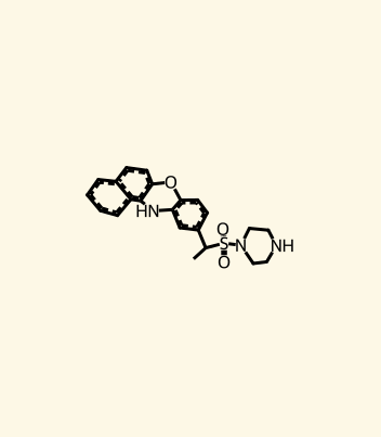 CC(c1ccc2c(c1)Nc1c(ccc3ccccc13)O2)S(=O)(=O)N1CCNCC1